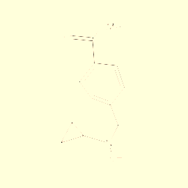 COC(=O)c1ccc(CN(C)C2CC2)cc1